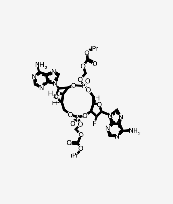 CC(C)OC(=O)OCOP1(=O)OC[C@H]2OC(n3cnc4c(N)ncnc43)C(F)C2OP(=O)(OCOC(=O)OC(C)C)OC[C@H]2OC(n3cnc4c(N)ncnc43)C(O1)C2C